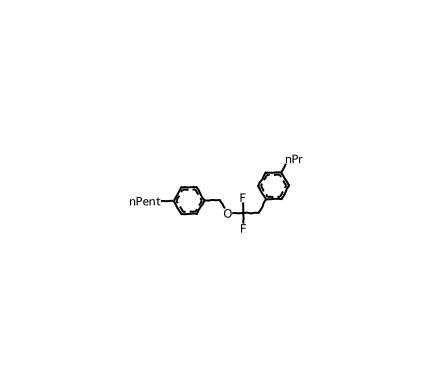 CCCCCc1ccc(COC(F)(F)Cc2ccc(CCC)cc2)cc1